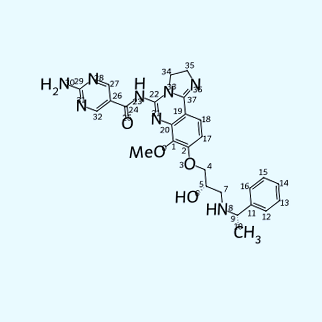 COc1c(OC[C@@H](O)CN[C@@H](C)c2ccccc2)ccc2c1N=C(NC(=O)c1cnc(N)nc1)N1CCN=C21